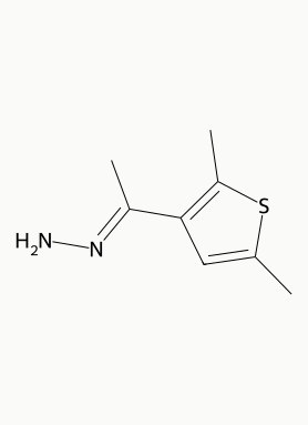 CC(=NN)c1cc(C)sc1C